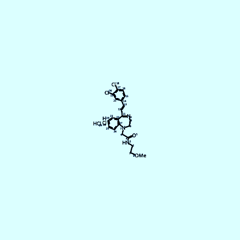 COCCNC(=O)CN1CCN=C(C=Cc2ccc(Cl)c(Cl)c2)c2ccccc21.Cl.Cl